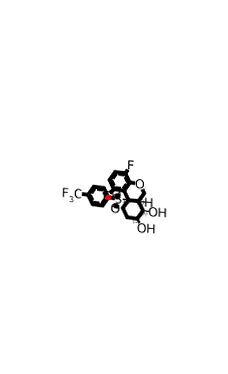 O=S(=O)(c1ccc(C(F)(F)F)cc1)[C@@]12CC[C@H](O)[C@@H](O)[C@@H]1COc1c(F)ccc(F)c12